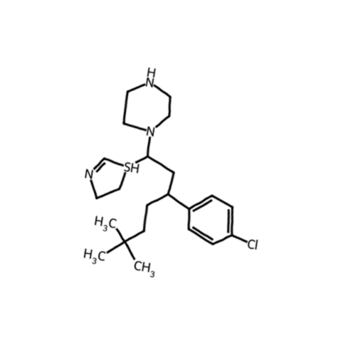 CC(C)(C)CCC(CC(N1CCNCC1)[SH]1C=NCC1)c1ccc(Cl)cc1